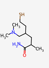 CC(CC(CCS)CN(C)C)C(N)=O